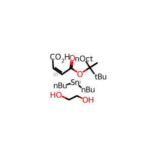 CCCCCCCCC(C)(OC(=O)/C=C\C(=O)O)C(C)(C)C.CCC[CH2][Sn][CH2]CCC.OCCO